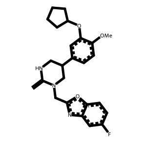 C=C1NCC(c2ccc(OC)c(OC3CCCC3)c2)CN1Cc1nc2cc(F)ccc2o1